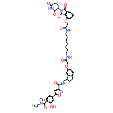 CN(C)C(=O)c1ccc(-c2cc(C(=O)NCC3CCc4ccc(OCC(=O)NCCCCCCCNC(=O)COc5cccc6c5C(=O)N(C5CCC(=O)NC5=O)C6=O)cc43)no2)cc1O